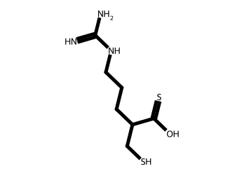 N=C(N)NCCCC(CS)C(O)=S